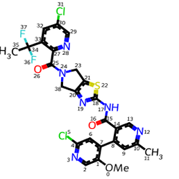 COc1cnc(Cl)cc1-c1cc(C)ncc1C(=O)Nc1nc2c(s1)CN(C(=O)c1ncc(Cl)cc1C(C)(F)F)C2